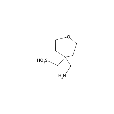 NCC1(CS(=O)(=O)O)CCOCC1